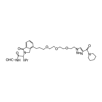 CCCC(C(=O)NC=O)N1Cc2c(CCCOCCOCCOCCn3cc(C(=O)N4CCCCC4)nn3)cccc2C1=O